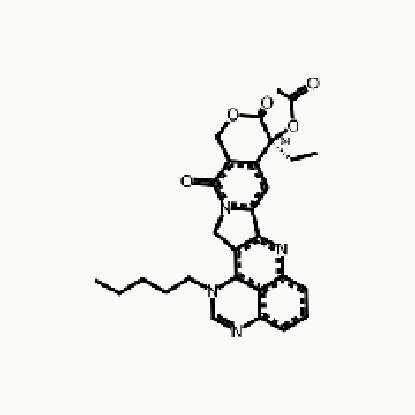 CCCCCN1C=Nc2cccc3nc4c(c1c23)Cn1c-4cc2c(c1=O)COC(=O)[C@@]2(CC)OC(C)=O